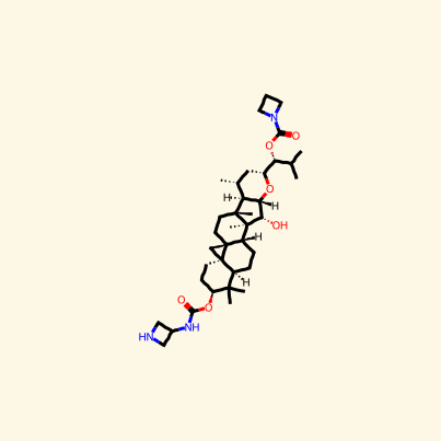 CC(C)[C@@H](OC(=O)N1CCC1)[C@H]1C[C@@H](C)[C@H]2[C@H](O1)[C@H](O)[C@@]1(C)[C@@H]3CC[C@H]4C(C)(C)[C@@H](OC(=O)NC5CNC5)CC[C@@]45C[C@@]35CC[C@]21C